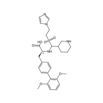 COc1cccc(OC)c1-c1ccc(C[C@H](NC(C2CCCNC2)S(=O)(=O)CCn2ccnc2)C(=O)O)cc1